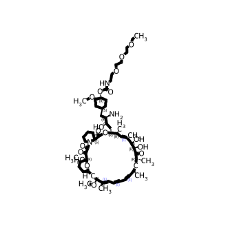 CCOCCOCCOCCNC(=O)O[C@@H]1CC[C@@H](C[C@@H](N)[C@@H](O)C[C@H]2OC(=O)[C@@H]3CCCCN3C(=O)C(=O)[C@]3(O)O[C@@H](CC[C@H]3C)C[C@H](OC)/C(C)=C/C=C/C=C/[C@@H](C)C[C@@H](C)C(=O)[C@H](O)[C@H](O)/C(C)=C/[C@H]2C)C[C@H]1OC